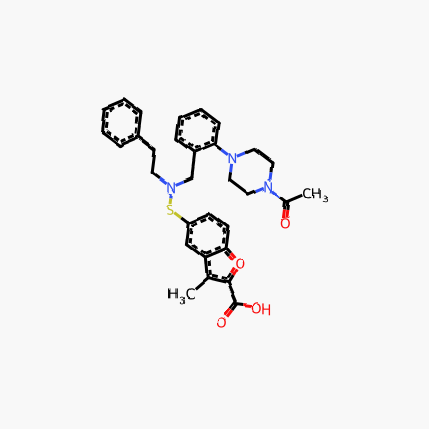 CC(=O)N1CCN(c2ccccc2CN(CCc2ccccc2)Sc2ccc3oc(C(=O)O)c(C)c3c2)CC1